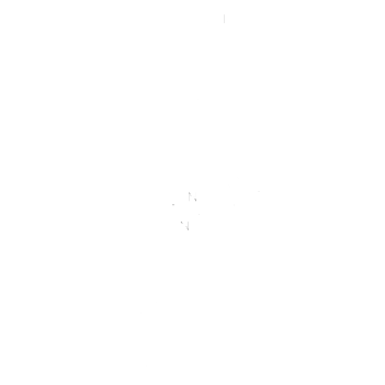 CCCCCCCCCCCN1C=CN(CCCCCCCCC)C1Cc1ccccc1